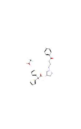 C[N+]1(CCCC(=O)c2ccc(F)cc2)CCC(OC(=O)C(O)(c2cccs2)c2cccs2)C1.O=C([O-])C(F)(F)F